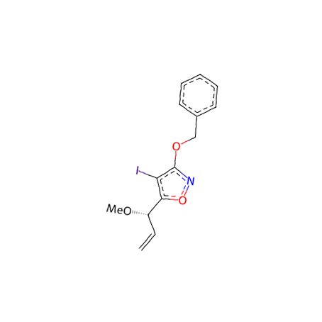 C=C[C@H](OC)c1onc(OCc2ccccc2)c1I